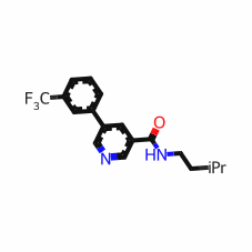 CC(C)CCNC(=O)c1cncc(-c2cccc(C(F)(F)F)c2)c1